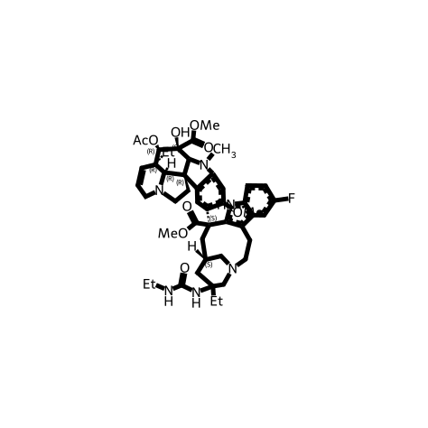 CCNC(=O)NC1(CC)C[C@H]2CN(CCc3c([nH]c4ccc(F)cc34)[C@@](C(=O)OC)(c3cc4c(cc3OC)N(C)C3[C@]45CCN4CC=C[C@@](CC)([C@@H](OC(C)=O)[C@]3(O)C(=O)OC)[C@H]45)C2)C1